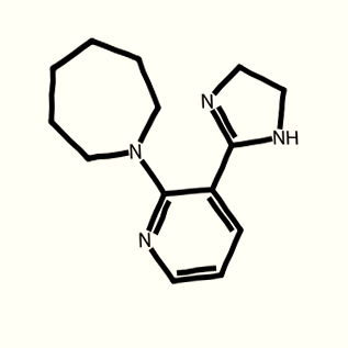 c1cnc(N2CCCCCC2)c(C2=NCCN2)c1